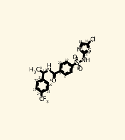 CC(NC(=O)c1ccc(S(=O)(=O)Nc2ncc(Cl)s2)cc1)c1ccc(C(F)(F)F)cc1